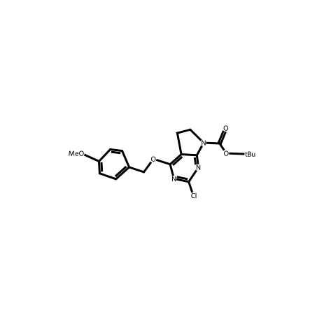 COc1ccc(COc2nc(Cl)nc3c2CCN3C(=O)OC(C)(C)C)cc1